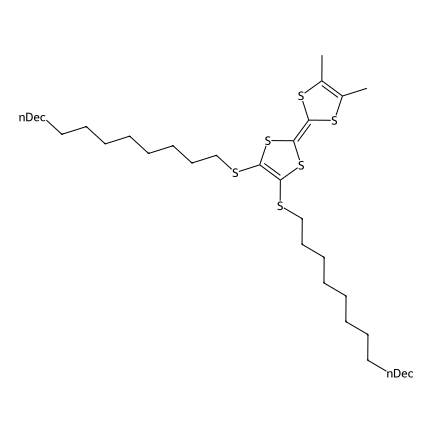 CCCCCCCCCCCCCCCCCCSC1=C(SCCCCCCCCCCCCCCCCCC)SC(=C2SC(C)=C(C)S2)S1